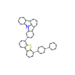 c1ccc(-c2ccc(-c3cccc4c3sc3c(-c5ccc6c7cccc8c9ccccc9n(c6c5)c87)cccc34)cc2)cc1